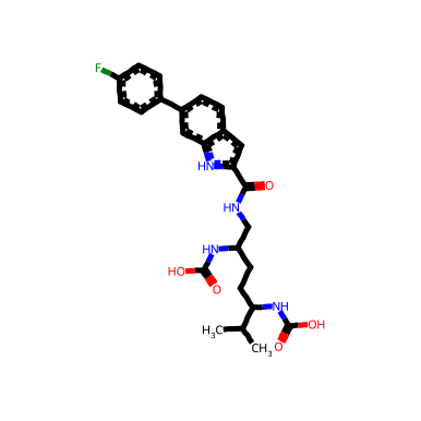 CC(C)C(CCC(CNC(=O)c1cc2ccc(-c3ccc(F)cc3)cc2[nH]1)NC(=O)O)NC(=O)O